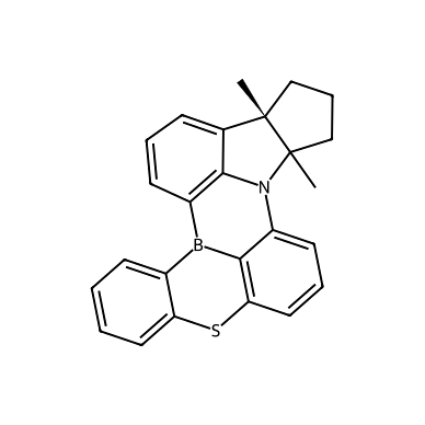 CC12CCC[C@@]1(C)c1cccc3c1N2c1cccc2c1B3c1ccccc1S2